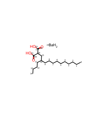 CCCCCCCCCCC(CCCC)CC(C(=O)O)C(=O)O.[BaH2]